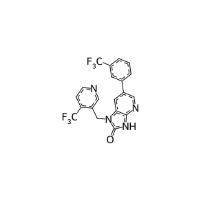 O=c1[nH]c2ncc(-c3cccc(C(F)(F)F)c3)cc2n1Cc1cnccc1C(F)(F)F